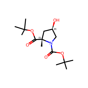 CC(C)(C)OC(=O)N1C[C@H](O)C[C@@]1(C)C(=O)OC(C)(C)C